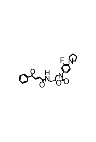 O=C(C=CC(=O)c1ccccc1)NC[C@H]1CN(c2ccc(N3CCCC3)c(F)c2)C(=O)O1